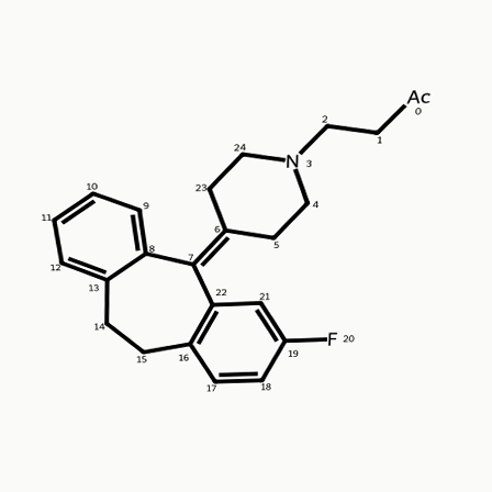 CC(=O)CCN1CCC(=C2c3ccccc3CCc3ccc(F)cc32)CC1